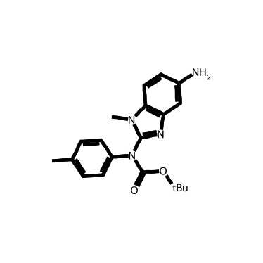 Cc1ccc(N(C(=O)OC(C)(C)C)c2nc3cc(N)ccc3n2C)cc1